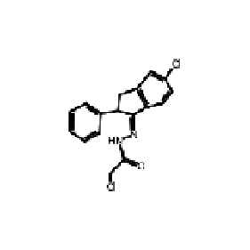 O=C(CCl)N/N=C1/c2ccc(Cl)cc2CC1c1ccccc1